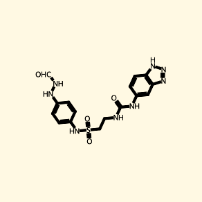 O=CNNc1ccc(NS(=O)(=O)CCNC(=O)Nc2ccc3[nH]nnc3c2)cc1